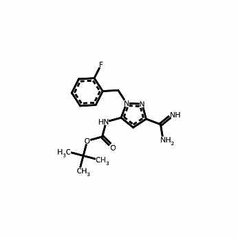 CC(C)(C)OC(=O)Nc1cc(C(=N)N)nn1Cc1ccccc1F